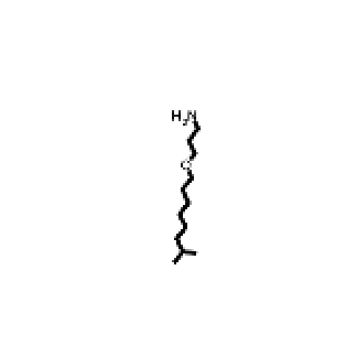 CC(C)CCCCCCOCCCN